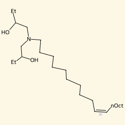 CCCCCCCC/C=C\CCCCCCCCCN(CC(O)CC)CC(O)CC